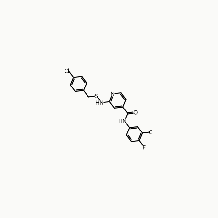 O=C(Nc1ccc(F)c(Cl)c1)c1ccnc(NSCc2ccc(Cl)cc2)c1